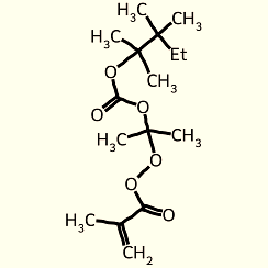 C=C(C)C(=O)OOC(C)(C)OC(=O)OC(C)(C)C(C)(C)CC